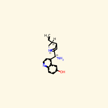 C=C[C@H]1C[N@@]2CCC1CC2[C@H](N)c1ccnc2ccc(O)cc12